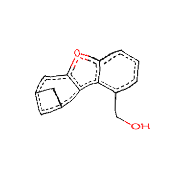 OCc1cccc2oc3cc4cc(c3c12)C4